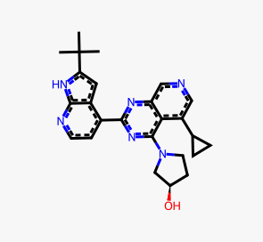 CC(C)(C)c1cc2c(-c3nc(N4CC[C@@H](O)C4)c4c(C5CC5)cncc4n3)ccnc2[nH]1